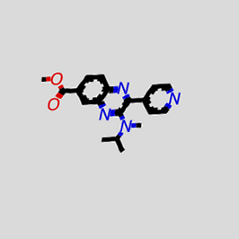 COC(=O)c1ccc2nc(-c3ccncc3)c(N(C)C(C)C)nc2c1